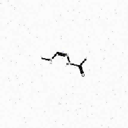 CN/C=N\NC(=O)I